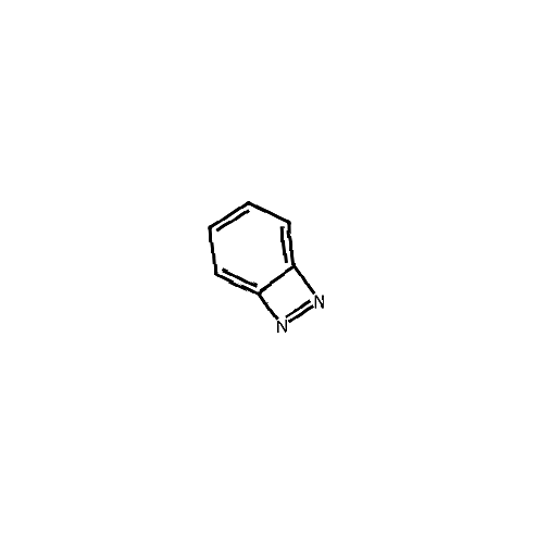 c1ccc2c(c1)N=N2